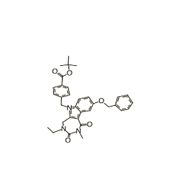 CCN1Cc2c(c3cc(OCc4ccccc4)ccc3n2Cc2ccc(C(=O)OC(C)(C)C)cc2)C(=O)N(C)C1=O